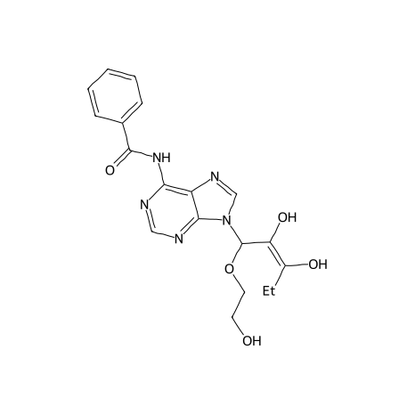 CC/C(O)=C(/O)C(OCCO)n1cnc2c(NC(=O)c3ccccc3)ncnc21